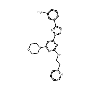 Cc1cccc(-c2ccn(-c3cc(N4CCOCC4)nc(NCCc4ccccn4)n3)n2)c1